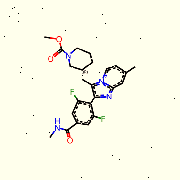 CNC(=O)c1cc(F)c(-c2nc3cc(C)ccn3c2C[C@H]2CCCN(C(=O)OC)C2)c(F)c1